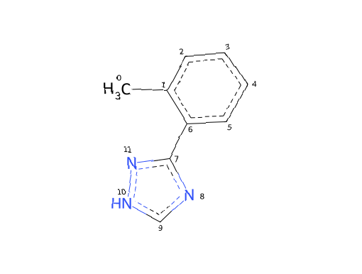 Cc1ccccc1-c1nc[nH]n1